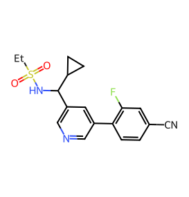 CCS(=O)(=O)NC(c1cncc(-c2ccc(C#N)cc2F)c1)C1CC1